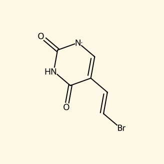 O=C1[N]C=C(C=CBr)C(=O)N1